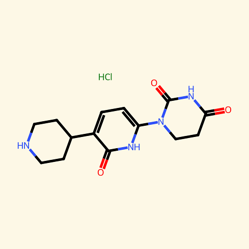 Cl.O=C1CCN(c2ccc(C3CCNCC3)c(=O)[nH]2)C(=O)N1